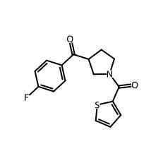 O=C(c1ccc(F)cc1)C1CCN(C(=O)c2cccs2)C1